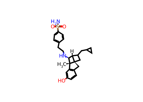 C[C@]12c3cc(O)ccc3C[C@@]13CC(CC1CC1)[C@H]3[C@@H]2NCCc1ccc(S(N)(=O)=O)cc1